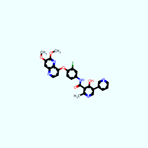 COc1cc2nccc(Oc3ccc(NC(=O)c4c(C)ncc(-c5cccnc5)c4O)cc3F)c2nc1OC